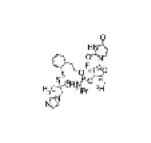 [2H]C[C@H]1O[C@@H](n2ccc(=O)[nH]c2=O)[C@@H](F)C1OP(OCCc1ccccc1SSC(C)(C)Cn1ccnc1)N(C(C)C)C(C)C